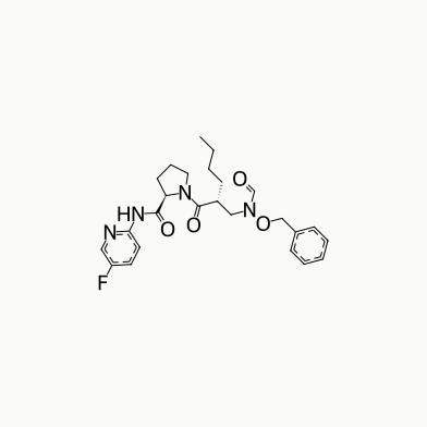 CCCC[C@H](CN(C=O)OCc1ccccc1)C(=O)N1CCC[C@@H]1C(=O)Nc1ccc(F)cn1